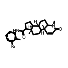 Cc1c(Br)cccc1NC(=O)C1CC[C@H]2[C@@H]3CCC4N(C)C(=O)C=C[C@]4(C)[C@@H]3CC[C@]12C